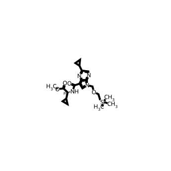 COC(=O)[C@H](NC(=O)c1cn(COCC[Si](C)(C)C)c2ncc(C3CC3)nc12)C1CC1